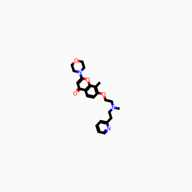 Cc1c(OCCN(C)CCc2ccccn2)ccc2c(=O)cc(N3CCOCC3)oc12